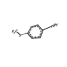 [CH2]CCc1ccc(SC(F)(F)F)cc1